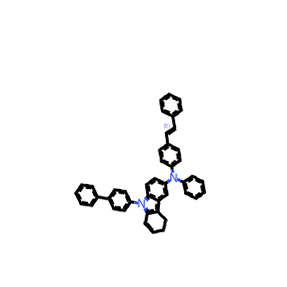 C1=Cc2c(c3cc(N(c4ccccc4)c4ccc(/C=C/c5ccccc5)cc4)ccc3n2-c2ccc(-c3ccccc3)cc2)CC1